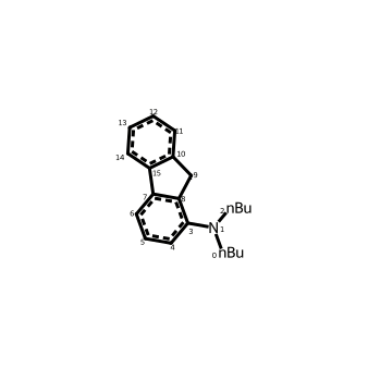 CCCCN(CCCC)c1cccc2c1[CH]c1ccccc1-2